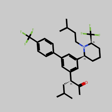 CC(=O)[C@H](CC(C)C)c1cc(-c2ccc(C(F)(F)F)cc2)cc([C@@H]2CCC[C@H](C(F)(F)F)N2CCC(C)C)c1